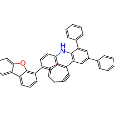 C1#CC(c2cc(-c3ccccc3)cc(-c3ccccc3)c2Nc2ccc(-c3cccc4c3oc3ccccc34)cc2)=CC=CC1